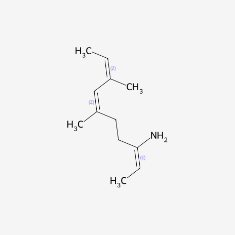 C/C=C(C)\C=C(\C)CC/C(N)=C\C